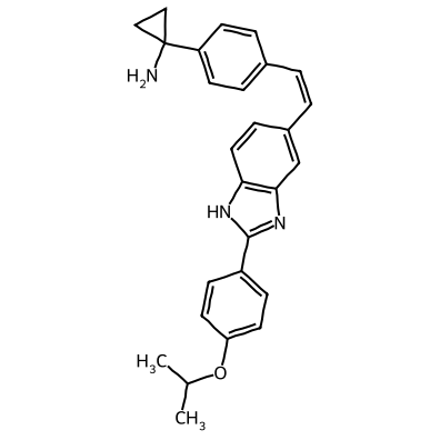 CC(C)Oc1ccc(-c2nc3cc(/C=C\c4ccc(C5(N)CC5)cc4)ccc3[nH]2)cc1